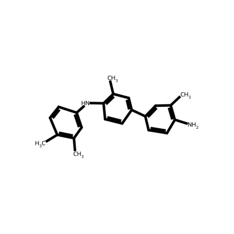 Cc1ccc(Nc2ccc(-c3ccc(N)c(C)c3)cc2C)cc1C